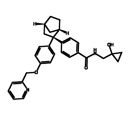 O=C(NCC1(O)CC1)c1ccc([C@@]2(c3ccc(OCc4ccccn4)cc3)C[C@@H]3CC[C@H]2C3)cc1